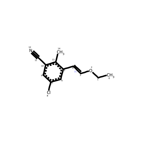 CCO/C=C/c1cc(Cl)cc(C#N)c1C